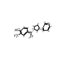 CCN(c1ccc(C#N)c(C(F)(F)F)c1)[C@@H]1CC[C@H](c2cccnc2)C1